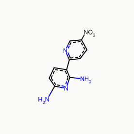 Nc1ccc(-c2ccc([N+](=O)[O-])cn2)c(N)n1